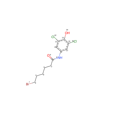 O=C(CCCCCBr)Nc1cc(Cl)c(O)c(Cl)c1